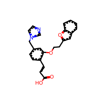 O=C(O)C=Cc1ccc(Cn2ccnc2)cc1OCCc1cc2ccccc2o1